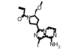 C=CC(=O)N1CC(c2nc(I)c3c(N)nccn23)C[C@@H]1COC